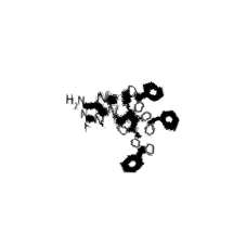 C#C[C@@]1(OC(=O)c2ccccc2)[C@H](OC(=O)c2ccccc2)[C@@H](COC(=O)c2ccccc2)O[C@H]1n1cnc2c(N)nc(F)nc21